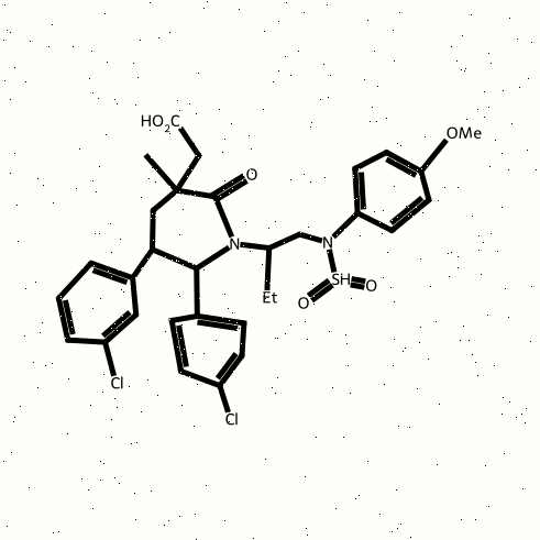 CCC(CN(c1ccc(OC)cc1)[SH](=O)=O)N1C(=O)C(C)(CC(=O)O)CC(c2cccc(Cl)c2)C1c1ccc(Cl)cc1